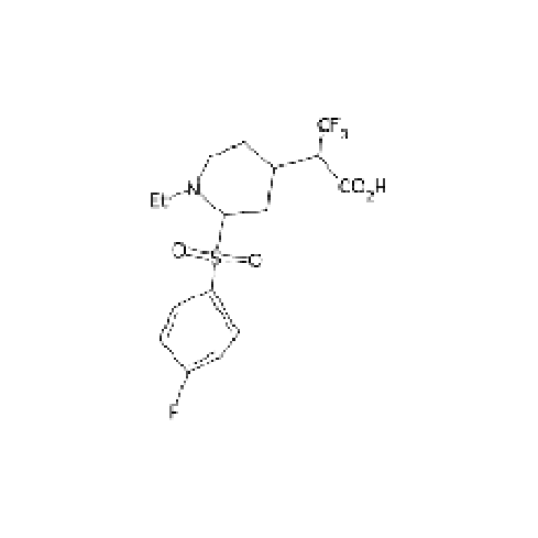 CCN1CCC(C(C(=O)O)C(F)(F)F)CC1S(=O)(=O)c1ccc(F)cc1